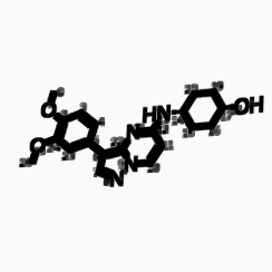 COc1ccc(-c2cnn3ccc(N[C@H]4CC[C@H](O)CC4)nc23)cc1OC